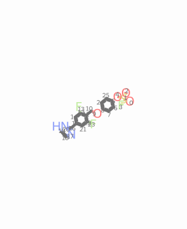 O=S(=O)(F)Oc1ccc(OCc2c(F)cc(-c3ncc[nH]3)cc2F)cc1